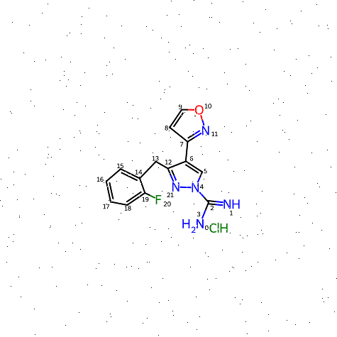 Cl.N=C(N)n1cc(-c2ccon2)c(Cc2ccccc2F)n1